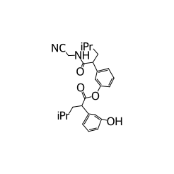 CC(C)CC(C(=O)NCC#N)c1cccc(OC(=O)C(CC(C)C)c2cccc(O)c2)c1